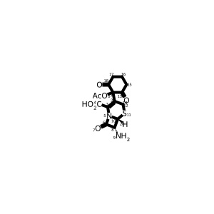 CC(=O)OC1(C2=C(C(=O)O)N3C(=O)[C@@H](N)[C@H]3SC2)C(=O)CCCC1=O